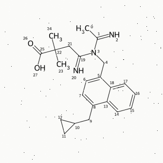 CC(=N)N(Cc1ccc(CC2CC2)c2ccccc12)C(=N)CC(C)(C)C(=O)O